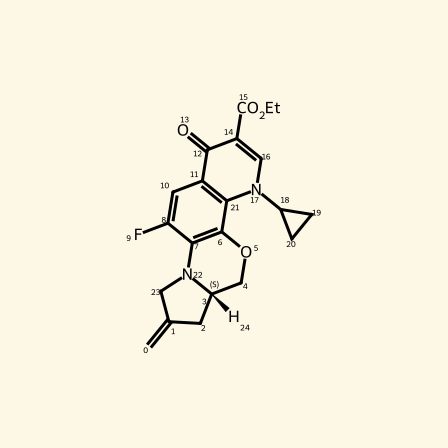 C=C1C[C@H]2COc3c(c(F)cc4c(=O)c(C(=O)OCC)cn(C5CC5)c34)N2C1